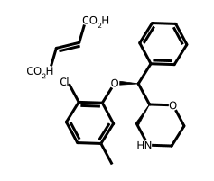 Cc1ccc(Cl)c(O[C@@H](c2ccccc2)[C@@H]2CNCCO2)c1.O=C(O)/C=C/C(=O)O